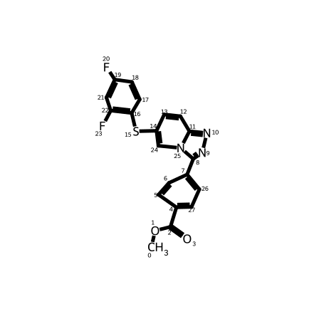 COC(=O)c1ccc(-c2nnc3ccc(Sc4ccc(F)cc4F)cn23)cc1